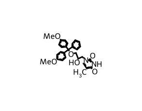 COc1ccc(C(OC[C@H](O)Cn2cc(C)c(=O)[nH]c2=O)(c2ccccc2)c2ccc(OC)cc2)cc1